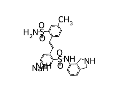 Cc1ccc(C=Cc2ccccc2S(=O)(=O)Nc2cccc3c2CNC3)c(S(N)(=O)=O)c1.[NaH].[NaH]